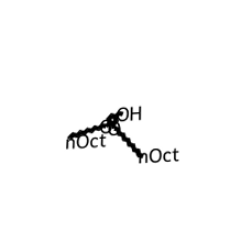 CCCCCCCC/C=C\CCCCCCCCOc1ccc(CO)cc1OCCCCCCCC/C=C/CCCCCCCC